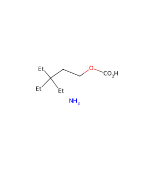 CCC(CC)(CC)CCOC(=O)O.N